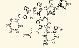 C=CCCO[C@@H](Cn1c(=O)n(C(C)(C)C(=O)OCc2ccccc2)c(=O)c2c(C)c(-n3nccn3)sc21)c1cc(F)ccc1OC